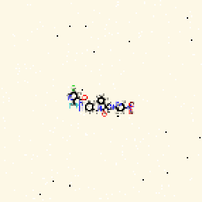 O=C(N[C@H]1CC[C@H](CN2C(=O)C3(CN(c4ccc([N+](=O)[O-])cn4)C3)c3ccccc32)CC1)c1cc(Cl)cnc1C(F)F